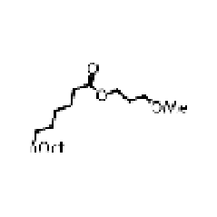 CCCCCCCCCCCCCC(=O)OCCCOC